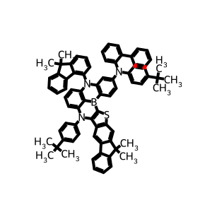 CC(C)(C)c1ccc(N(c2ccc3c(c2)N(c2cccc4c2-c2ccccc2C4(C)C)c2cccc4c2B3c2sc3cc5c(cc3c2N4c2ccc(C(C)(C)C)cc2)-c2ccccc2C5(C)C)c2ccccc2-c2ccccc2)cc1